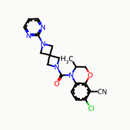 CC1COc2c(ccc(Cl)c2C#N)N1C(=O)N1CC2(C1)CN(c1ncccn1)C2